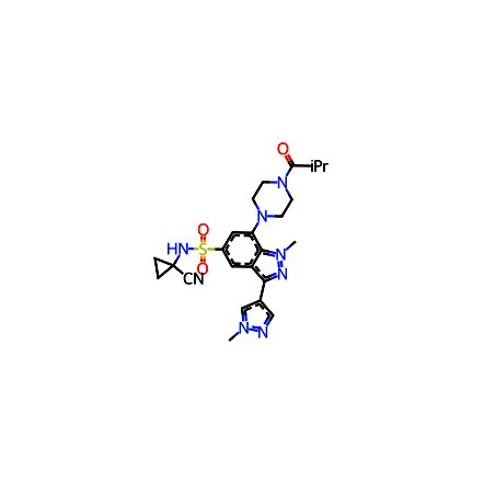 CC(C)C(=O)N1CCN(c2cc(S(=O)(=O)NC3(C#N)CC3)cc3c(-c4cnn(C)c4)nn(C)c23)CC1